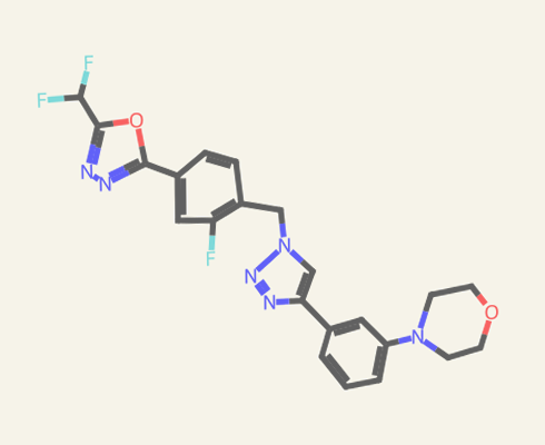 Fc1cc(-c2nnc(C(F)F)o2)ccc1Cn1cc(-c2cccc(N3CCOCC3)c2)nn1